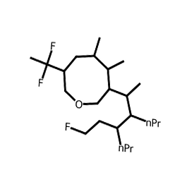 CCCC(CCF)C(CCC)C(C)C1COCC(C(C)(F)F)CC(C)C1C